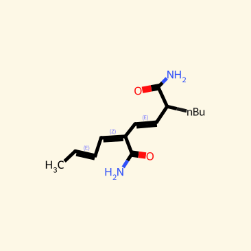 C/C=C/C=C(/C=C/C(CCCC)C(N)=O)C(N)=O